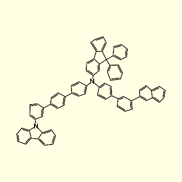 c1ccc(C2(c3ccccc3)c3ccccc3-c3ccc(N(c4ccc(-c5ccc(-c6cccc(-n7c8ccccc8c8ccccc87)c6)cc5)cc4)c4ccc(-c5cccc(-c6ccc7ccccc7c6)c5)cc4)cc32)cc1